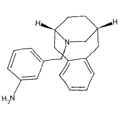 Nc1cccc(CN2C[C@@H]3CC[C@H]2Cc2ccccc2C3)c1